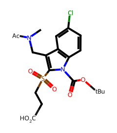 CC(=O)N(C)Cc1c(S(=O)(=O)CCC(=O)O)n(C(=O)OC(C)(C)C)c2ccc(Cl)cc12